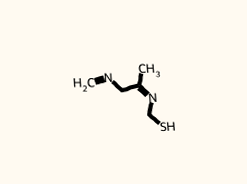 C=NC/C(C)=N\CS